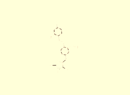 COc1cc(/C=C2\SC(=O)NC2=O)ccc1OCc1ccc(F)cc1Cl